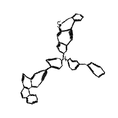 c1ccc(-c2ccc(N(c3ccc(-c4ccc5c(ccc6ccc7ccccc7c65)c4)cc3)c3ccc4cc5sc6ccccc6c5cc4c3)cc2)cc1